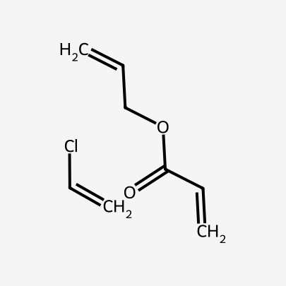 C=CCOC(=O)C=C.C=CCl